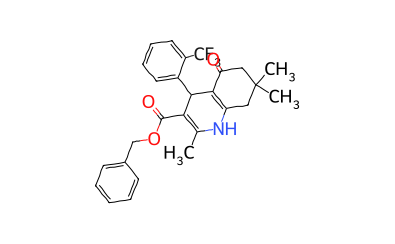 CC1=C(C(=O)OCc2ccccc2)C(c2ccccc2C(F)(F)F)C2=C(CC(C)(C)CC2=O)N1